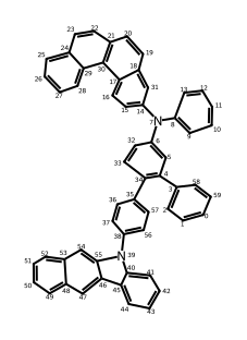 c1ccc(-c2cc(N(c3ccccc3)c3ccc4c(ccc5ccc6ccccc6c54)c3)ccc2-c2ccc(-n3c4ccccc4c4cc5ccccc5cc43)cc2)cc1